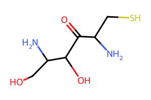 NC(CS)C(=O)C(O)C(N)CO